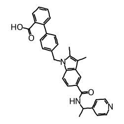 Cc1c(C)n(Cc2ccc(-c3ccccc3C(=O)O)cc2)c2ccc(C(=O)NC(C)c3ccncc3)cc12